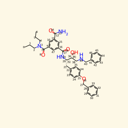 CCCN(CCC)C(=O)c1cc(C(N)=O)cc(C(=O)N[C@@H](Cc2ccc(OCc3ccccc3)cc2)[C@H](O)CNCc2ccccc2)c1